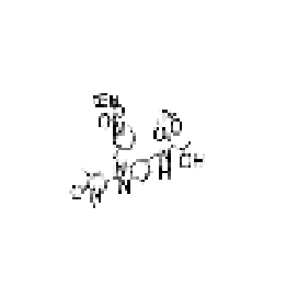 Cc1cc(-c2nc3ccc(CN[C@H](C(=O)OC(C)C)[C@@H](C)O)cc3n2CC2CCCN(C(=O)OC(C)(C)C)C2)cn(C)c1=O